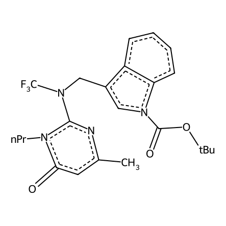 CCCn1c(N(Cc2cn(C(=O)OC(C)(C)C)c3ccccc23)C(F)(F)F)nc(C)cc1=O